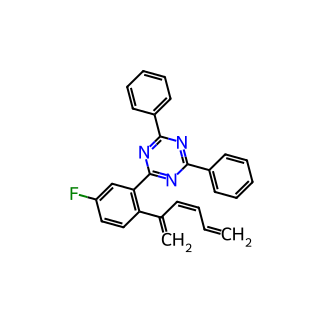 C=C/C=C\C(=C)c1ccc(F)cc1-c1nc(-c2ccccc2)nc(-c2ccccc2)n1